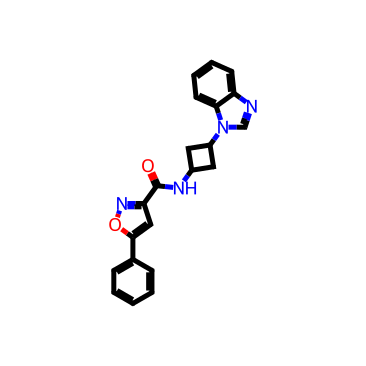 O=C(NC1CC(n2cnc3ccccc32)C1)c1cc(-c2ccccc2)on1